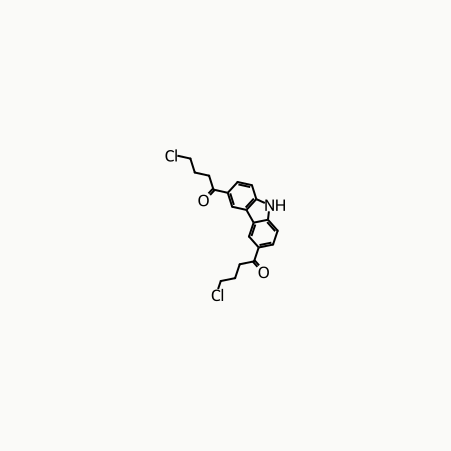 O=C(CCCCl)c1ccc2[nH]c3ccc(C(=O)CCCCl)cc3c2c1